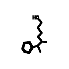 CC(CCCCO)C(C)c1ccccc1